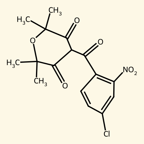 CC1(C)OC(C)(C)C(=O)C(C(=O)c2ccc(Cl)cc2[N+](=O)[O-])C1=O